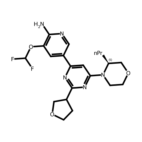 CCC[C@H]1COCCN1c1cc(-c2cnc(N)c(OC(F)F)c2)nc(C2CCOC2)n1